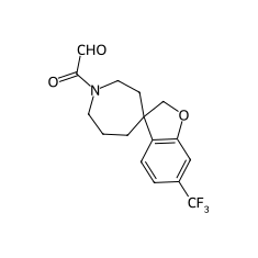 O=CC(=O)N1CCCC2(CC1)COc1cc(C(F)(F)F)ccc12